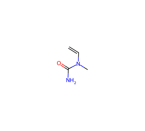 C=CN(C)C(N)=O